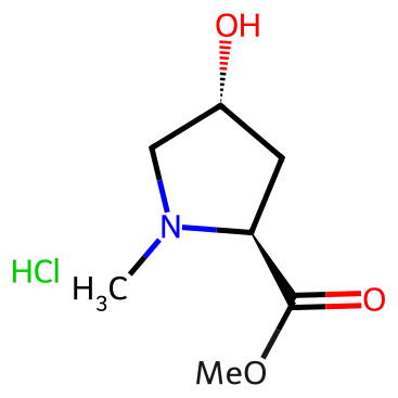 COC(=O)[C@@H]1C[C@@H](O)CN1C.Cl